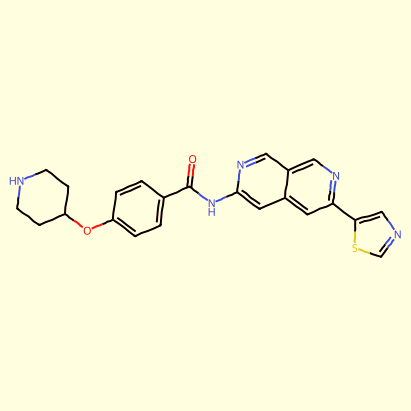 O=C(Nc1cc2cc(-c3cncs3)ncc2cn1)c1ccc(OC2CCNCC2)cc1